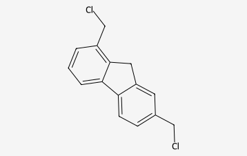 ClCc1ccc2c(c1)Cc1c(CCl)cccc1-2